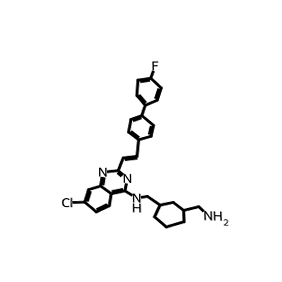 NCC1CCCC(CNc2nc(C=Cc3ccc(-c4ccc(F)cc4)cc3)nc3cc(Cl)ccc23)C1